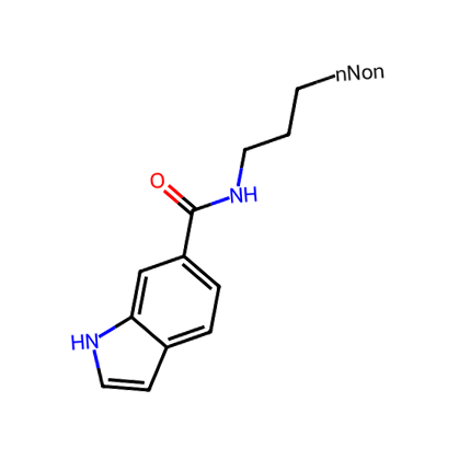 CCCCCCCCCCCCNC(=O)c1ccc2cc[nH]c2c1